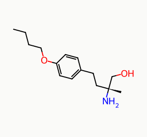 CCCCOc1ccc(CC[C@@](C)(N)CO)cc1